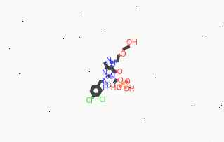 CC(C)(C)C(OP(=O)(O)O)n1c(NCc2ccc(Cl)c(Cl)c2)nc2cnn(CCOCCO)c2c1=O